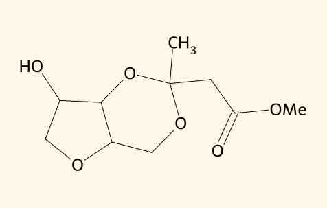 COC(=O)CC1(C)OCC2OCC(O)C2O1